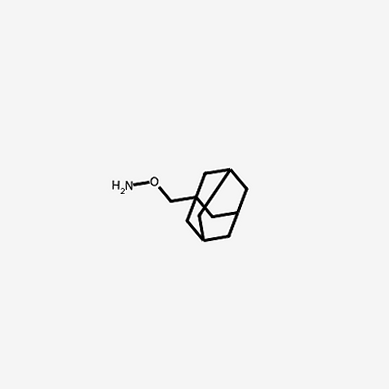 NOCC12CC3CC(CC(C3)C1)C2